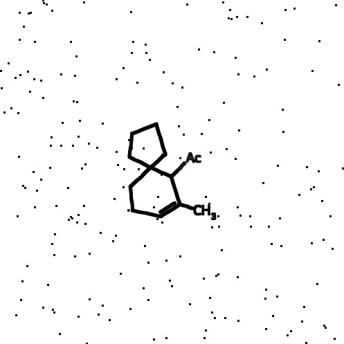 CC(=O)C1C(C)=C[CH]CC12CCCC2